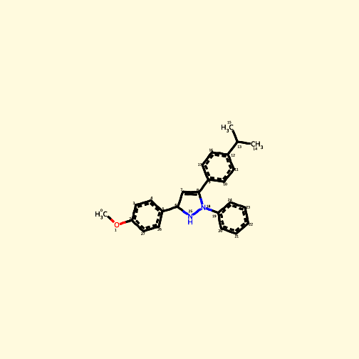 COc1ccc(C2C=C(c3ccc(C(C)C)cc3)N(c3ccccc3)N2)cc1